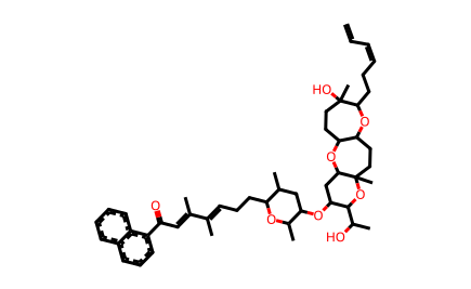 C=C/C=C\CCC1OC2CCC3(C)OC(C(C)O)C(OC4CC(C)C(CC/C=C(C)/C(C)=C/C(=O)c5cccc6ccccc56)OC4C)CC3OC2CCC1(C)O